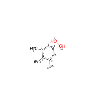 Cc1cccc(C(C)C)c1C(C)C.OO